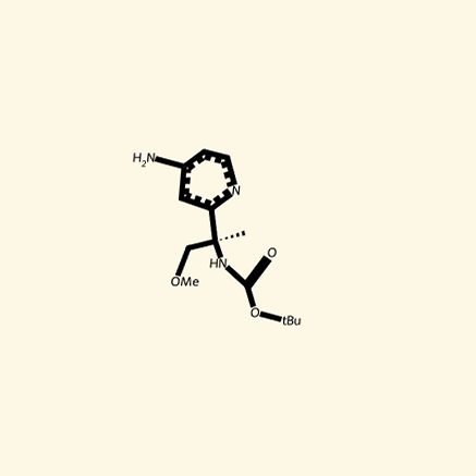 COC[C@](C)(NC(=O)OC(C)(C)C)c1cc(N)ccn1